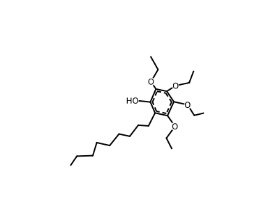 CCCCCCCCCc1c(O)c(OCC)c(OCC)c(OCC)c1OCC